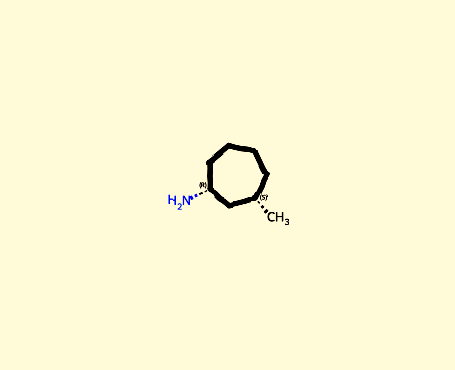 C[C@H]1CCCC[C@@H](N)C1